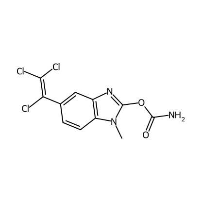 Cn1c(OC(N)=O)nc2cc(C(Cl)=C(Cl)Cl)ccc21